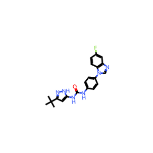 CC(C)(C)c1cc(NC(=O)Nc2ccc(-n3cnc4cc(F)ccc43)cc2)[nH]n1